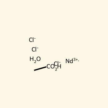 CC(=O)O.O.[Cl-].[Cl-].[Cl-].[Nd+3]